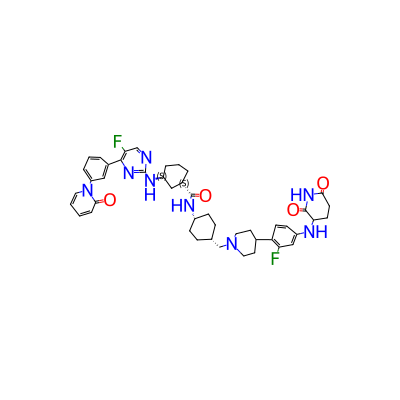 O=C1CCC(Nc2ccc(C3CCN(C[C@H]4CC[C@@H](NC(=O)[C@H]5CCC[C@H](Nc6ncc(F)c(-c7cccc(-n8ccccc8=O)c7)n6)C5)CC4)CC3)c(F)c2)C(=O)N1